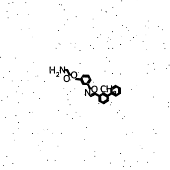 Cc1c(-c2ccccc2)cccc1-c1cnc(-c2cccc(COC(=O)CN)c2)o1